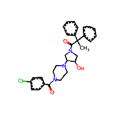 CC(C(=O)N1CC(O)C(N2CCN(C(=O)c3ccc(Cl)cc3)CC2)C1)(c1ccccc1)c1ccccc1